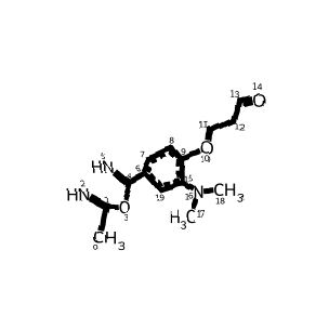 CC(=N)OC(=N)c1ccc(OCCC=O)c(N(C)C)c1